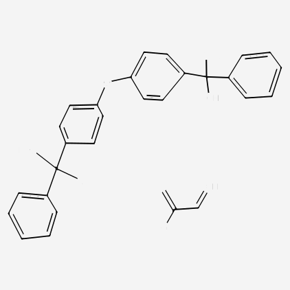 C=CC(=O)O.CC(C)(c1ccccc1)c1ccc(Oc2ccc(C(C)(C)c3ccccc3)cc2)cc1